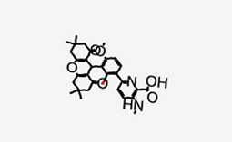 CNc1ccc(-c2ccc(OC)c(C3C4=C(CC(C)(C)CC4=O)OC4=C3C(=O)CC(C)(C)C4)c2C)nc1C(=O)O